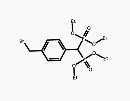 CCOP(=O)(OCC)C(c1ccc(CBr)cc1)P(=O)(OCC)OCC